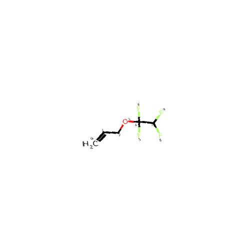 C=CCOC(F)(F)C(F)F